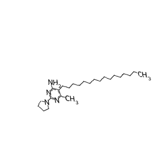 CCCCCCCCCCCCCCCCc1c(C)nc(N2CCCC2)nc1N